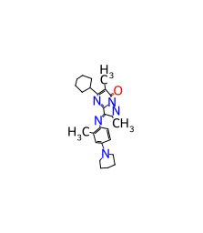 CC1=Nn2c(nc(C3CCCCC3)c(C)c2=O)C1=Nc1ccc(N2CCCCC2)cc1C